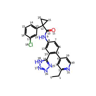 CCc1cc(-c2ccc(NC(=O)C3(c4cccc(Cl)c4)CC3)cc2-c2nnn[nH]2)ccn1